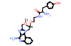 CCOCc1nc2c(N)nc3ccccc3c2n1CC(C)(C)OCCNC(=O)C(N)Cc1ccc(O)cc1